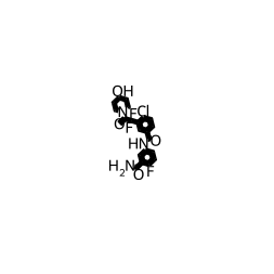 NC(=O)c1cc(NC(=O)c2ccc(Cl)c(C(F)(F)C(=O)N3CCC(O)CC3)c2)ccc1F